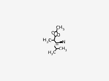 CC(C)C[C@@H](C#N)C(C)C1OC(C)O1